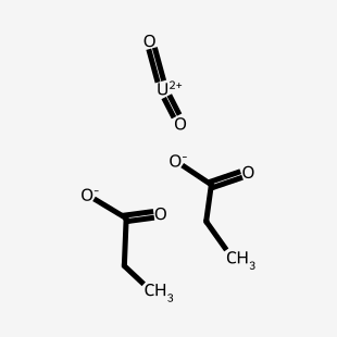 CCC(=O)[O-].CCC(=O)[O-].[O]=[U+2]=[O]